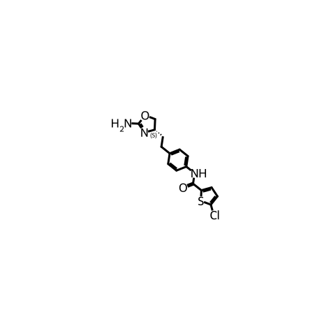 NC1=N[C@@H](CCc2ccc(NC(=O)c3ccc(Cl)s3)cc2)CO1